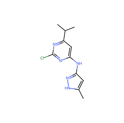 Cc1cc(Nc2cc(C(C)C)nc(Cl)n2)n[nH]1